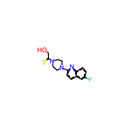 OCC(=S)N1CCN(c2ccc3cc(F)ccc3n2)CC1